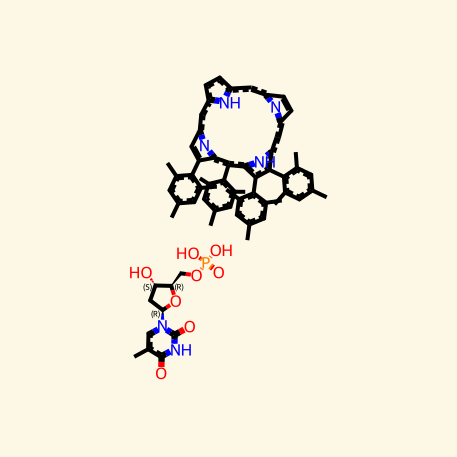 Cc1cc(C)c(C2=Cc3cc4ccc(cc5nc(cc6[nH]c(c(-c7c(C)cc(C)cc7C)c2n3)c(-c2c(C)cc(C)cc2C)c6-c2c(C)cc(C)cc2C)C=C5)[nH]4)c(C)c1.Cc1cn([C@H]2C[C@H](O)[C@@H](COP(=O)(O)O)O2)c(=O)[nH]c1=O